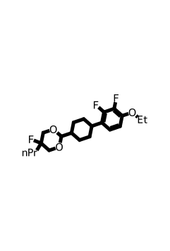 CCCC1(F)COC(C2CCC(c3ccc(OCC)c(F)c3F)CC2)OC1